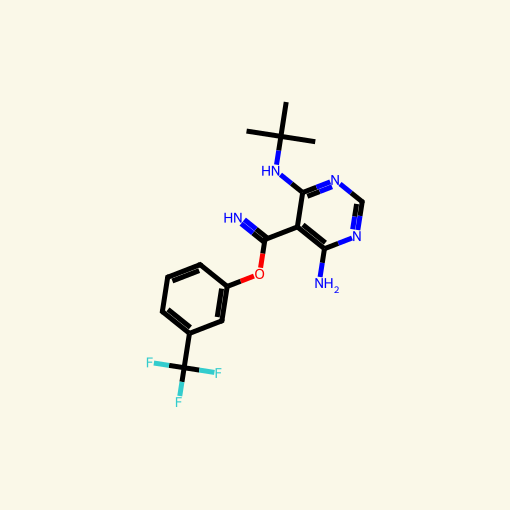 CC(C)(C)Nc1ncnc(N)c1C(=N)Oc1cccc(C(F)(F)F)c1